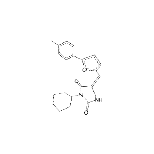 Cc1ccc(-c2ccc(C=C3NC(=O)N(C4CCCCC4)C3=O)o2)cc1